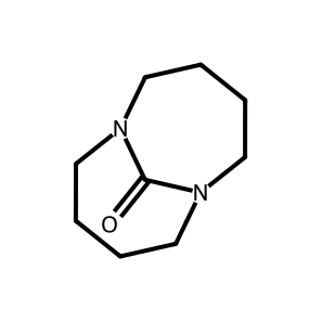 O=C1N2CCCCN1CCCC2